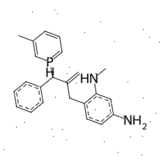 C=C(Cc1ccc(N)cc1NC)C(c1ccccc1)[PH]1=CC=CC(C)=C1